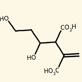 C=C(C(=O)O)C(C(=O)O)C(O)CCO